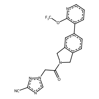 N#Cc1ncn(CC(=O)N2Cc3ccc(-c4cccnc4OC(F)(F)F)cc3C2)n1